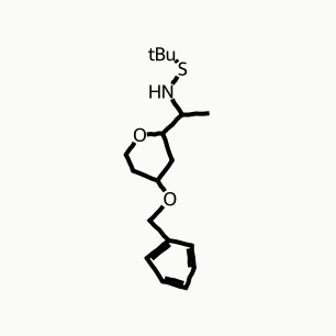 CC(NSC(C)(C)C)C1CC(OCc2ccccc2)CCO1